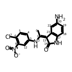 C/C(Nc1ccc(Cl)c([N+](=O)[O-])c1)=C1/C(=O)Nc2ccc(N)cc21